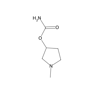 CN1CCC(OC(N)=O)C1